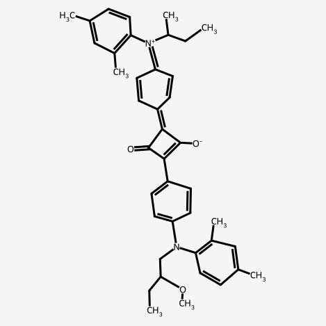 CCC(CN(c1ccc(C2=C([O-])C(=C3C=CC(=[N+](c4ccc(C)cc4C)C(C)CC)C=C3)C2=O)cc1)c1ccc(C)cc1C)OC